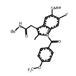 CCC(C)NC(=O)Cc1c(C)n(C(=O)c2ccc(OC(F)(F)F)cc2)c2cc(F)c(OC)cc12